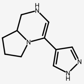 C1=C(c2cn[nH]c2)N2CCCC2CN1